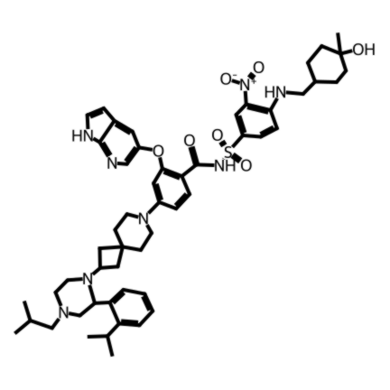 CC(C)CN1CCN(C2CC3(CCN(c4ccc(C(=O)NS(=O)(=O)c5ccc(NCC6CCC(C)(O)CC6)c([N+](=O)[O-])c5)c(Oc5cnc6[nH]ccc6c5)c4)CC3)C2)C(c2ccccc2C(C)C)C1